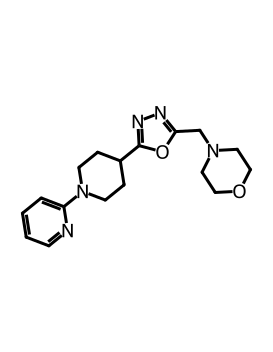 c1ccc(N2CCC(c3nnc(CN4CCOCC4)o3)CC2)nc1